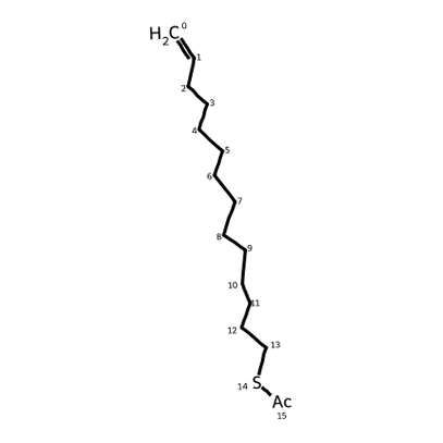 C=CCCCCCCCCCCCCSC(C)=O